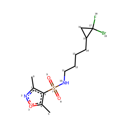 Cc1noc(C)c1S(=O)(=O)NCCCCC1CC1(F)Br